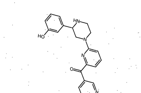 O=C(c1cccnc1)c1cccc(N2CCNC(c3cccc(O)c3)C2)n1